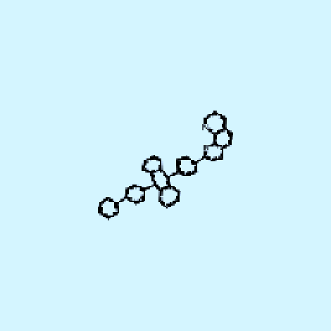 c1ccc(-c2ccc(-c3c4ccccc4c(-c4ccc(-c5ccc6ccc7cccnc7c6n5)cc4)c4ccccc34)cc2)cc1